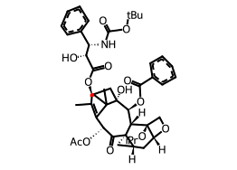 CC(=O)O[C@H]1C(=O)[C@]23C[C@H]2C[C@H]2OC[C@@]2(OC(C)C)[C@H]3[C@H](OC(=O)c2ccccc2)[C@]2(O)C[C@H](OC(=O)[C@H](O)[C@@H](NC(=O)OC(C)(C)C)c3ccccc3)C(C)=C1C2(C)C